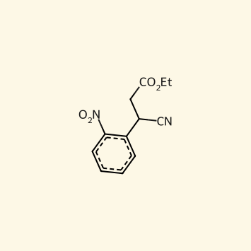 CCOC(=O)CC(C#N)c1ccccc1[N+](=O)[O-]